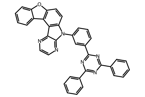 c1ccc(-c2nc(-c3ccccc3)nc(-c3cccc(-n4c5ccc6oc7ccccc7c6c5c5nccnc54)c3)n2)cc1